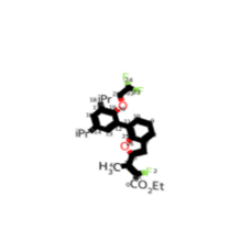 CCOC(=O)/C(F)=C(\C)c1cc2cccc(-c3cc(C(C)C)cc(C(C)C)c3OCC(F)F)c2o1